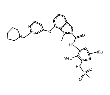 COc1c(NC(=O)c2cc3cccc(Oc4ccnc(CN5CCCCC5)c4)c3n2C)cc(C(C)(C)C)cc1NS(C)(=O)=O